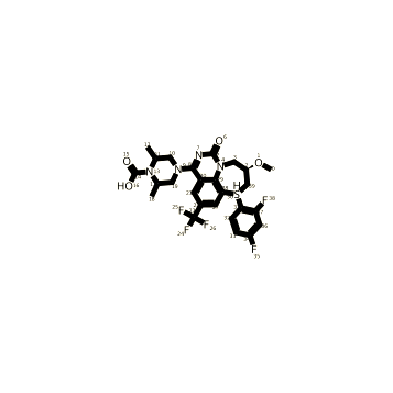 CO[C@H]1Cn2c(=O)nc(N3CC(C)N(C(=O)O)C(C)C3)c3cc(C(F)(F)F)cc(c32)[SH](c2ccc(F)cc2F)C1